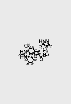 C=C1Nc2c(Cl)cc3cc(C(=O)N(C)CCc4c(C)n[nH]c4C)oc3c2C2(CCCCC2)N1